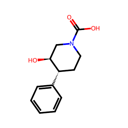 O=C(O)N1CC[C@H](c2ccccc2)[C@@H](O)C1